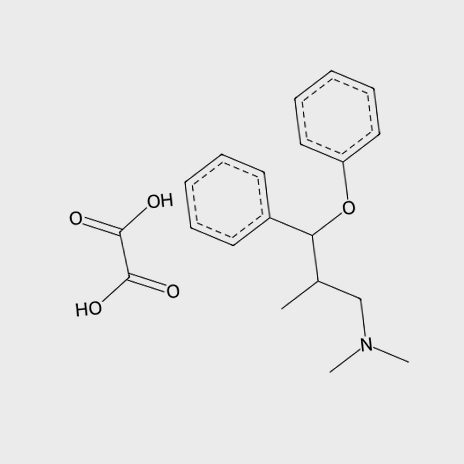 CC(CN(C)C)C(Oc1ccccc1)c1ccccc1.O=C(O)C(=O)O